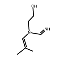 CC(C)=CN(C=N)CCO